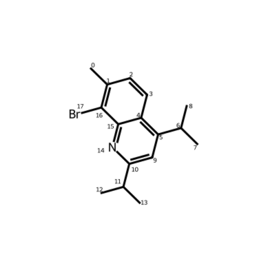 Cc1ccc2c(C(C)C)cc(C(C)C)nc2c1Br